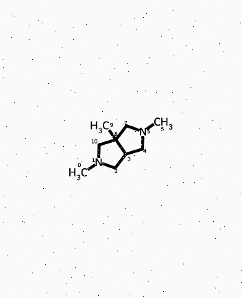 CN1CC2CN(C)CC2(C)C1